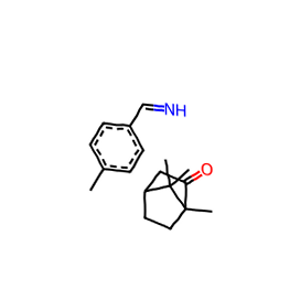 CC12CCC(CC1=O)C2(C)C.Cc1ccc(C=N)cc1